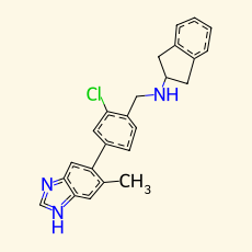 Cc1cc2[nH]cnc2cc1-c1ccc(CNC2Cc3ccccc3C2)c(Cl)c1